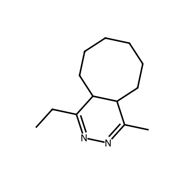 CCC1=NN=C(C)C2CCCCCCC12